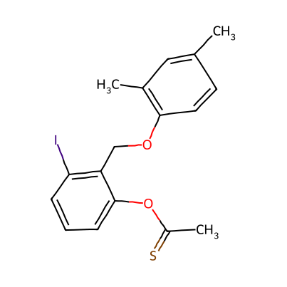 CC(=S)Oc1cccc(I)c1COc1ccc(C)cc1C